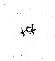 CN1C[C@H](C(F)(F)F)OC1(C)C